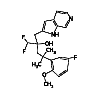 COc1ccc(F)cc1C(C)(C)CC(O)(Cc1cc2ccncc2[nH]1)C(F)F